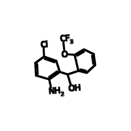 Nc1ccc(Cl)cc1C(O)c1ccccc1OC(F)(F)F